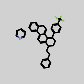 FC(F)(F)c1ccc(C2=c3c(ccc4c3=CCc3ccccc3-4)C(CCc3ccccc3)CC2)cc1.c1ccncc1